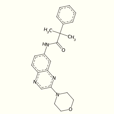 CC(C)(C(=O)Nc1ccc2ncc(N3CCOCC3)nc2c1)c1ccccc1